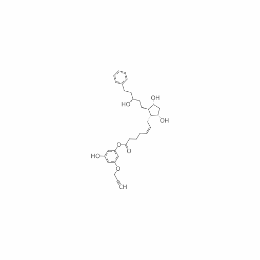 C#CCOc1cc(O)cc(OC(=O)CCC/C=C\C[C@@H]2[C@@H](CC[C@@H](O)CCc3ccccc3)[C@H](O)C[C@@H]2O)c1